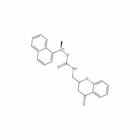 C[C@@H](OC(=O)NCC1CC(=O)c2ccccc2O1)c1cccc2ccccc12